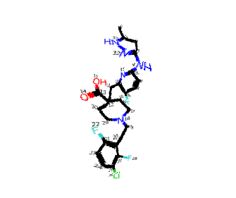 Cc1cc(Nc2ccc(F)c(CC3(C(=O)O)CCN(Cc4c(F)ccc(Cl)c4F)CC3)n2)n[nH]1